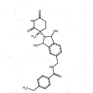 CCc1ccc(C(=O)NCc2ccc3c(c2)C(O)N([C@@]2(C)CCC(=O)NC2=O)C3O)cc1